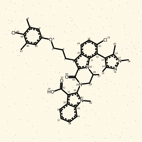 Cc1cc(OCCCc2c3n(c4c(-c5c(C)nn(C)c5C)c(Cl)ccc24)C(C)CN(c2c(C(=O)O)c4ccccc4n2C)C3=O)cc(C)c1Cl